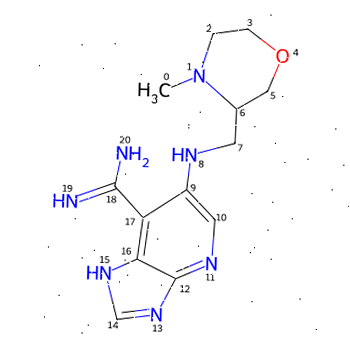 CN1CCOCC1CNc1cnc2nc[nH]c2c1C(=N)N